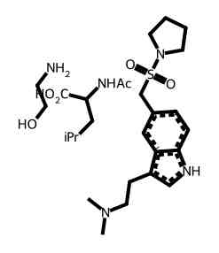 CC(=O)NC(CC(C)C)C(=O)O.CN(C)CCc1c[nH]c2ccc(CS(=O)(=O)N3CCCC3)cc12.NCCO